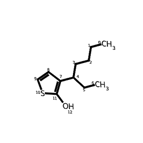 CCCCC(CC)c1ccsc1O